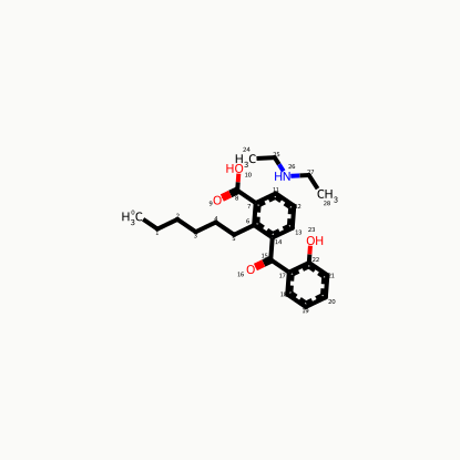 CCCCCCc1c(C(=O)O)cccc1C(=O)c1ccccc1O.CCNCC